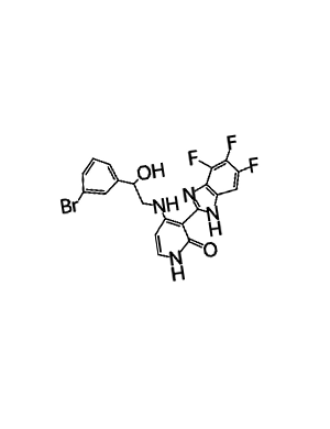 O=c1[nH]ccc(NCC(O)c2cccc(Br)c2)c1-c1nc2c(F)c(F)c(F)cc2[nH]1